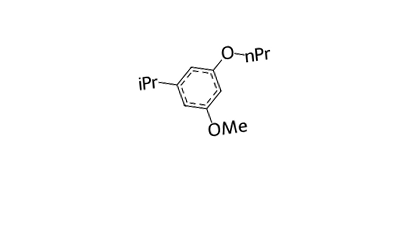 CCCOc1cc(OC)cc(C(C)C)c1